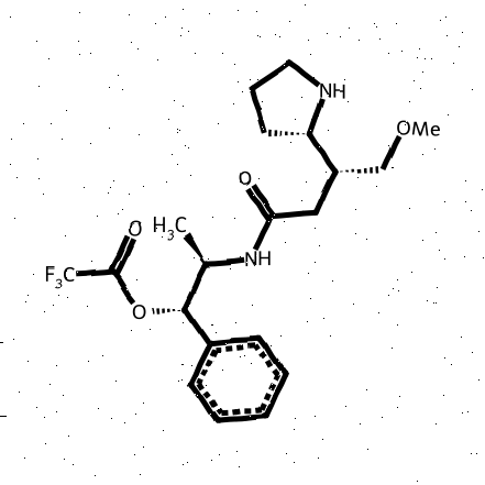 COC[C@H](CC(=O)N[C@H](C)[C@@H](OC(=O)C(F)(F)F)c1ccccc1)[C@@H]1CCCN1